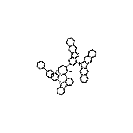 CC1=C(c2cc(-n3c4cc5ccccc5cc4c4cc5ccccc5cc43)c3sc4cc5ccccc5cc4c3c2)C=C[C@@H](c2cccc(-c3ccccc3)c2)N=C1c1cccc2c3ccccc3n(-c3ccccc3)c12